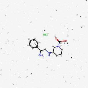 Cl.NC(CNC1CCCN(C(=O)O)C1)c1ccccc1